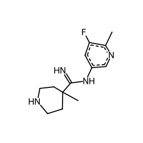 Cc1ncc(NC(=N)C2(C)CCNCC2)cc1F